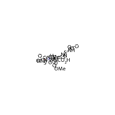 CO/N=C(\C(=O)NC1(Cc2ccc(OC)cc2)C(=O)N2C(C(=O)O)=C(CSc3nc(SCCNC(=O)OCc4ccccc4)ns3)CS[C@H]21)c1csc(NC(c2ccccc2)(c2ccccc2)c2ccccc2)n1